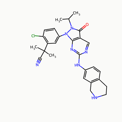 CC(C)n1c(=O)c2cnc(Nc3ccc4c(c3)CNCC4)nc2n1-c1ccc(Cl)c(C(C)(C)C#N)c1